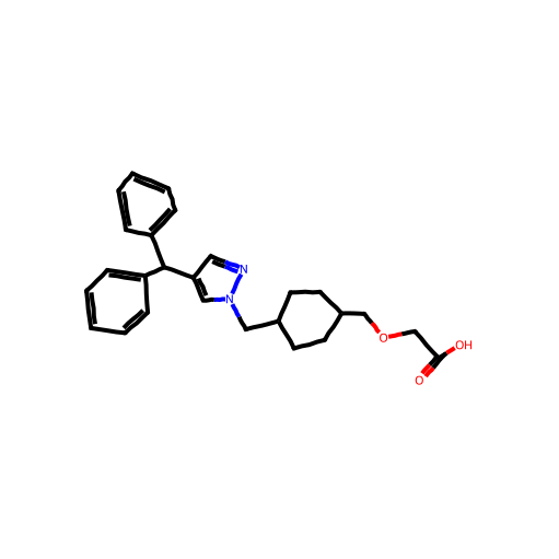 O=C(O)COCC1CCC(Cn2cc(C(c3ccccc3)c3ccccc3)cn2)CC1